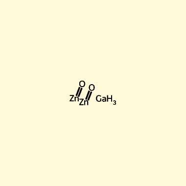 [GaH3].[O]=[Zn].[O]=[Zn]